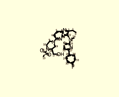 CCc1nc2ccc(N3CCN(S(C)(=O)=O)C(CO)C3)nn2c1N(C)c1nc(-c2ccc(F)cc2)cs1